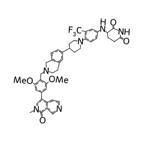 COc1cc(-c2cn(C)c(=O)c3cnccc23)cc(OC)c1CN1CCc2cc(C3CCN(c4ccc(NC5CCC(=O)NC5=O)cc4C(F)(F)F)CC3)ccc2C1